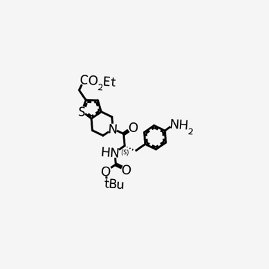 CCOC(=O)Cc1cc2c(s1)CCN(C(=O)[C@H](Cc1ccc(N)cc1)NC(=O)OC(C)(C)C)C2